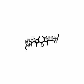 CCn1nnc(-c2[nH]c(C)c(C(=O)c3c(C)[nH]c(-c4nnn(CC)n4)c3C)c2C)n1